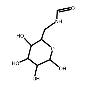 O=CNCC1OC(O)C(O)C(O)C1O